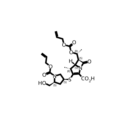 C=CCOC(=O)O[C@H](C)[C@H]1C(=O)N2C(C(=O)O)=C(S[C@H]3C[C@@H](CO)N(C(=O)OCC=C)C3)[C@H](C)[C@H]12